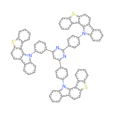 c1cc(-c2cc(-c3ccc(-n4c5ccccc5c5ccc6sc7ccccc7c6c54)cc3)nc(-c3ccc(-n4c5ccccc5c5ccc6sc7ccccc7c6c54)cc3)n2)cc(-n2c3ccccc3c3ccc4sc5ccccc5c4c32)c1